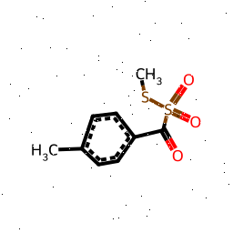 CSS(=O)(=O)C(=O)c1ccc(C)cc1